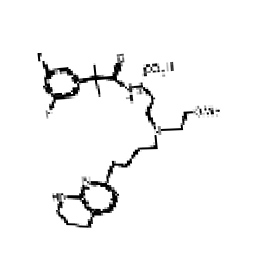 COCCN(CCCCc1ccc2c(n1)NCCC2)CC[C@H](NC(=O)C(C)(C)c1cc(F)cc(F)c1)C(=O)O